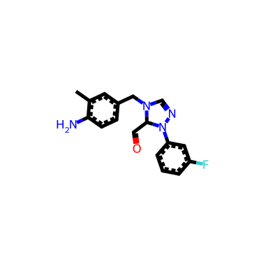 Cc1cc(CN2C=NN(c3cccc(F)c3)C2C=O)ccc1N